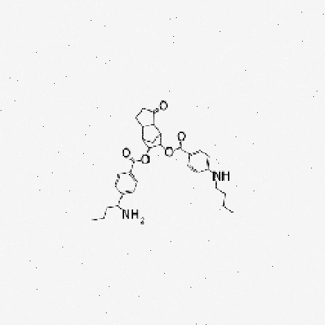 CCCCNc1ccc(C(=O)OC2C3CC(C4CCC(=O)C43)C2OC(=O)c2ccc(C(N)CCC)cc2)cc1